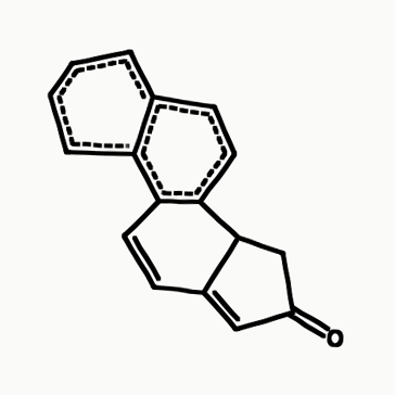 O=C1C=C2C=Cc3c(ccc4ccccc34)C2C1